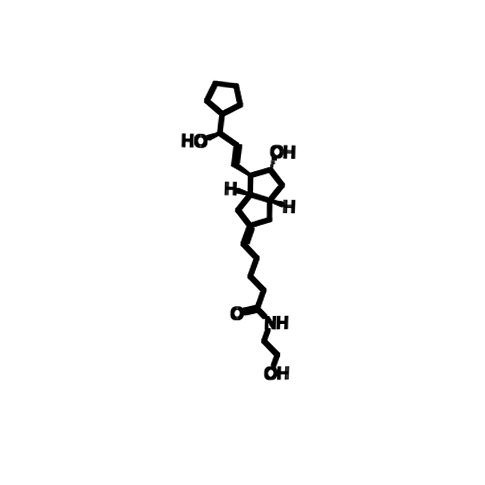 O=C(CCC/C=C1\C[C@H]2C[C@@H](O)[C@H](/C=C/[C@@H](O)C3CCCC3)[C@H]2C1)NCCO